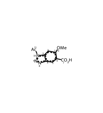 COc1cc2c(cc1C(=O)O)nnn2C(C)=O